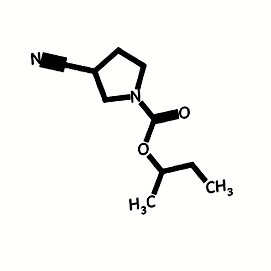 CCC(C)OC(=O)N1CCC(C#N)C1